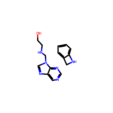 OCCNCn1cnc2cncnc21.c1ccc2c(c1)CN2